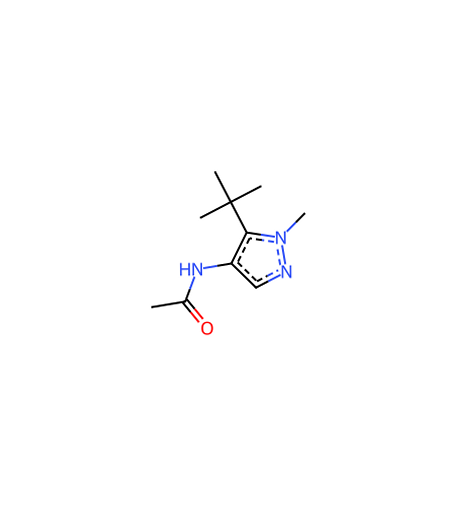 CC(=O)Nc1cnn(C)c1C(C)(C)C